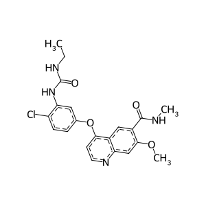 CCNC(=O)Nc1cc(Oc2ccnc3cc(OC)c(C(=O)NC)cc23)ccc1Cl